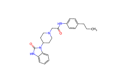 CCCc1ccc(NC(=O)CN2CCC(n3c(=O)[nH]c4ccccc43)CC2)cc1